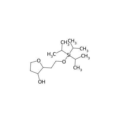 CC(C)[Si](OCCC1OCCC1O)(C(C)C)C(C)C